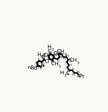 CCCCc1ccc(C(=O)Oc2c(C)c(C)c3c(c2C)CC[C@@](C)(CCC[C@H](C)CCC[C@H](C)CCCC(C)C)O3)nc1